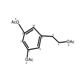 CC(=O)OCCc1cc(OC(C)=O)cc(OC(C)=O)c1